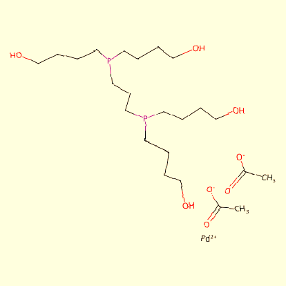 CC(=O)[O-].CC(=O)[O-].OCCCCP(CCCCO)CCCP(CCCCO)CCCCO.[Pd+2]